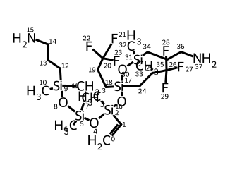 C=C[Si](C)(O[Si](C)(C)O[Si](C)(C)CCCN)O[Si](CCC(F)(F)F)(CCC(F)(F)F)O[Si](C)(C)CCCN